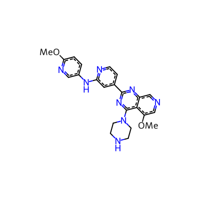 COc1ccc(Nc2cc(-c3nc(N4CCNCC4)c4c(OC)cncc4n3)ccn2)cn1